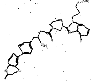 COCCCn1c(C2CCCN(C(=O)CC(N)Cc3ccc(-c4ccc5c(c4)OCC(=O)N5)cc3)C2)nc2c(F)cccc21